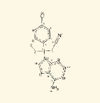 CCC(CC#N)(c1ccc(Cl)cc1)n1ccc2c(N)cccc21